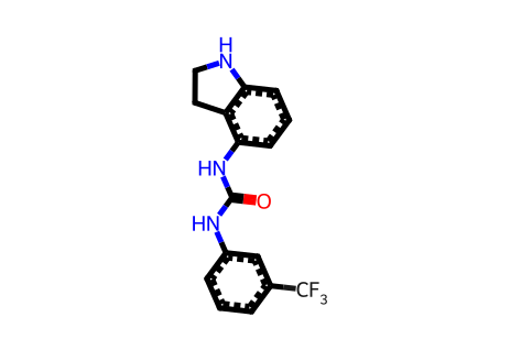 O=C(Nc1cccc(C(F)(F)F)c1)Nc1cccc2c1CCN2